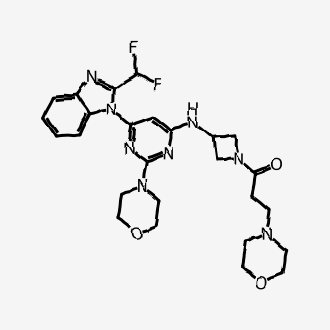 O=C(CCN1CCOCC1)N1CC(Nc2cc(-n3c(C(F)F)nc4ccccc43)nc(N3CCOCC3)n2)C1